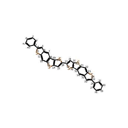 c1ccc(-c2cc3cc4c(cc3s2)sc2cc(-c3cc5sc6cc7sc(-c8ccccc8)cc7cc6c5s3)sc24)cc1